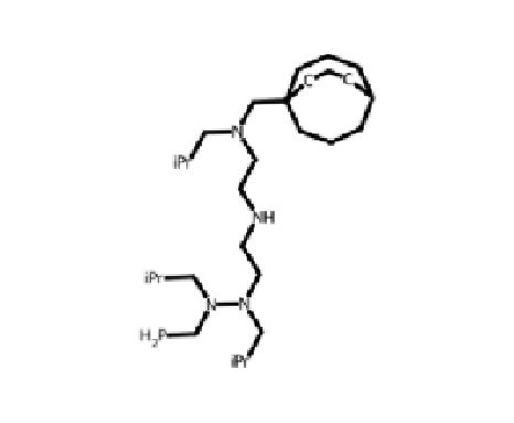 CC(C)CN(CCNCCN(CC(C)C)N(CP)CC(C)C)CC12CCCC(CCC1)CCC2